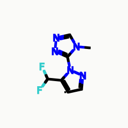 Cn1cnnc1-n1nc[c]c1C(F)F